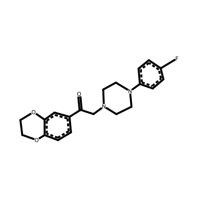 O=C(CN1CCN(c2ccc(F)cc2)CC1)c1ccc2c(c1)OCCO2